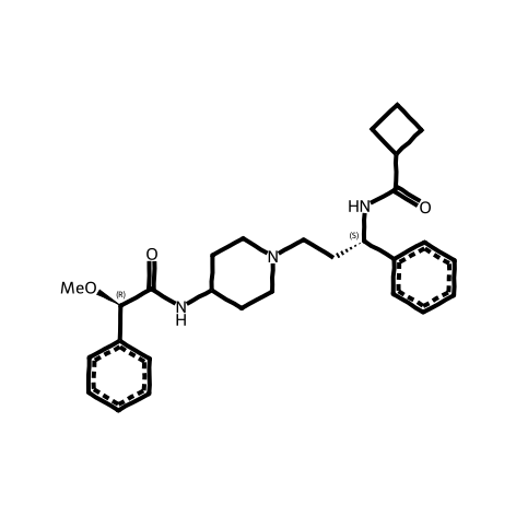 CO[C@@H](C(=O)NC1CCN(CC[C@H](NC(=O)C2CCC2)c2ccccc2)CC1)c1ccccc1